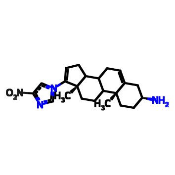 C[C@]12CC[C@H](N)CC1=CCC1C2CC[C@]2(C)C(n3cnc([N+](=O)[O-])c3)=CCC12